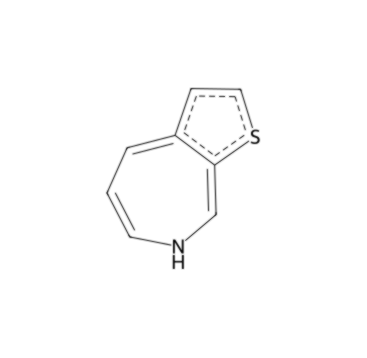 C1=CNC=c2sccc2=C1